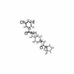 CC1(C)CCCN1C(=O)CN1CCC(CNC(=O)c2cc(F)cc(Cl)c2)CC1